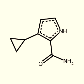 NC(=O)c1[nH]ccc1C1CC1